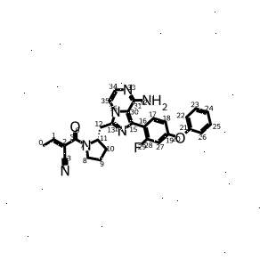 C/C=C(\C#N)C(=O)N1CCC[C@H]1Cc1nc(-c2ccc(Oc3ccccc3)cc2F)c2c(N)nccn12